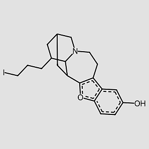 Oc1ccc2oc3c(c2c1)CCN1CC2CC(CCCI)C1C3C2